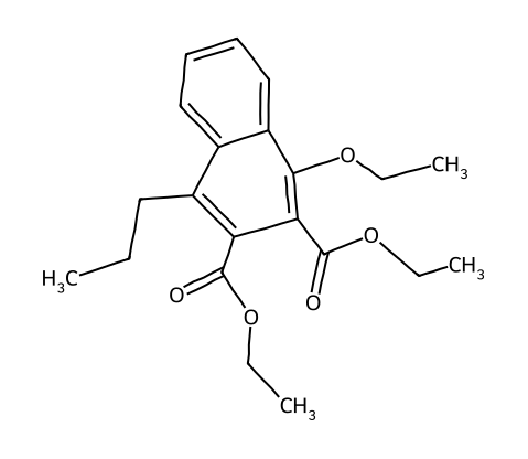 CCCc1c(C(=O)OCC)c(C(=O)OCC)c(OCC)c2ccccc12